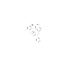 CN1C=C(C(Nc2cc(Cl)c3ncc(C#N)c(Nc4ccc(F)c(Cl)c4)c3c2)c2ccc(F)c(F)c2)NN1